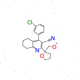 COCC1(c2nc3c(c(-c4cccc(Cl)c4)c2C#N)CCCC3)CCCO1